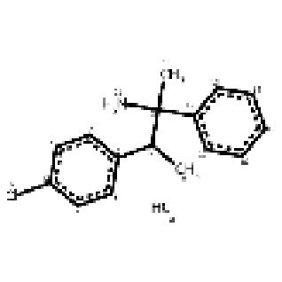 CC(c1ccc(Cl)cc1)C(C)(N)c1ccccc1.Cl